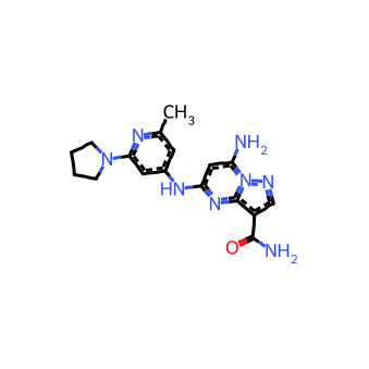 Cc1cc(Nc2cc(N)n3ncc(C(N)=O)c3n2)cc(N2CCCC2)n1